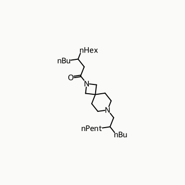 CCCCCCC(CCCC)CC(=O)N1CC2(CCN(CC(CCCC)CCCCC)CC2)C1